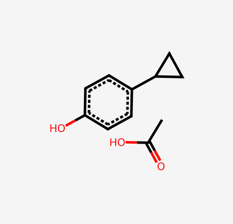 CC(=O)O.Oc1ccc(C2CC2)cc1